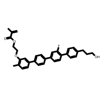 C=C(C)C(=O)OCCOc1cc(-c2ccc(-c3ccc(-c4ccc(CCCO)cc4)c(F)c3)cc2)ccc1C